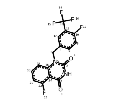 O=c1[nH]c(=O)n(Cc2ccc(F)c(C(F)(F)F)c2)c2cccc(F)c12